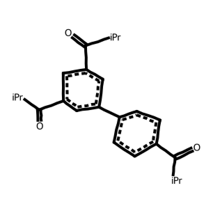 CC(C)C(=O)c1ccc(-c2cc(C(=O)C(C)C)cc(C(=O)C(C)C)c2)cc1